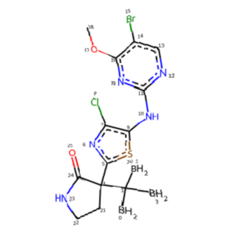 BC(B)(B)C1(c2nc(Cl)c(Nc3ncc(Br)c(OC)n3)s2)CCNC1=O